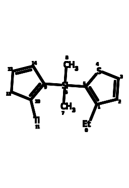 CCc1ccsc1[Si](C)(C)C1=[C]([Ti])CC=C1